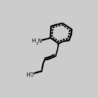 Nc1ccccc1C=CCO